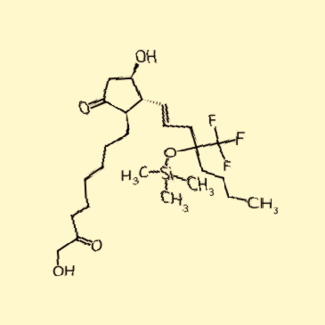 CCCCC(CC=C[C@H]1[C@H](O)CC(=O)[C@@H]1CCCCCCC(=O)CO)(O[Si](C)(C)C)C(F)(F)F